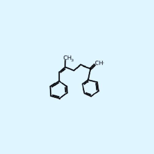 [CH]=C(CCC(C)=Cc1ccccc1)c1ccccc1